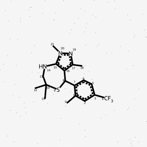 Cc1cc(C(F)(F)F)ccc1C1SC(C)(C)CNc2c1c(C)nn2C